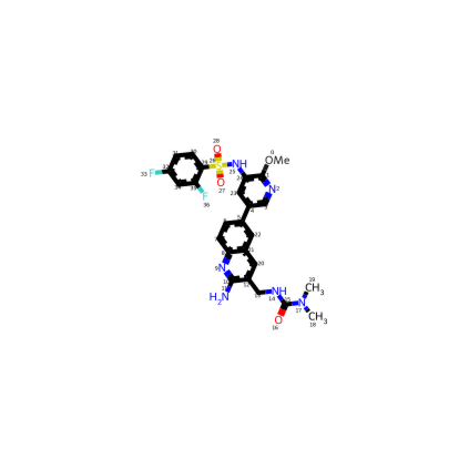 COc1ncc(-c2ccc3nc(N)c(CNC(=O)N(C)C)cc3c2)cc1NS(=O)(=O)c1ccc(F)cc1F